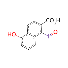 O=Ic1c(C(=O)O)ccc2c(O)cccc12